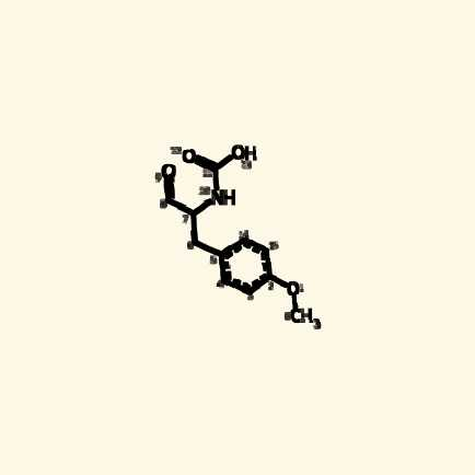 COc1ccc(CC(C=O)NC(=O)O)cc1